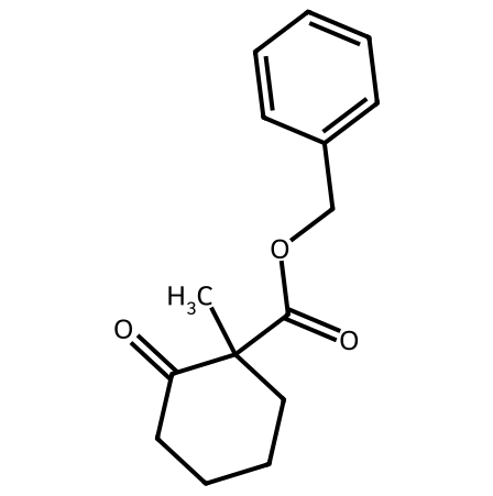 CC1(C(=O)OCc2ccccc2)CCCCC1=O